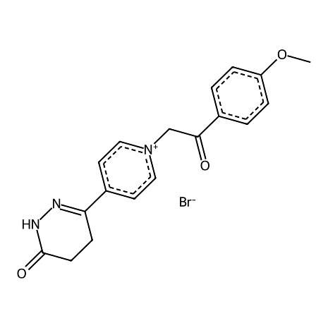 COc1ccc(C(=O)C[n+]2ccc(C3=NNC(=O)CC3)cc2)cc1.[Br-]